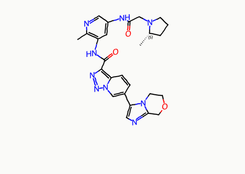 Cc1ncc(NC(=O)CN2CCC[C@@H]2C)cc1NC(=O)c1nnn2cc(-c3cnc4n3CCOC4)ccc12